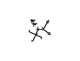 C[Si](C)(C)OP([O-])[O-].[Na+].[Na+]